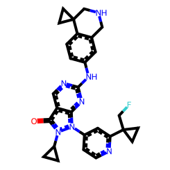 O=c1c2cnc(Nc3ccc4c(c3)CNCC43CC3)nc2n(-c2ccnc(C3(CF)CC3)c2)n1C1CC1